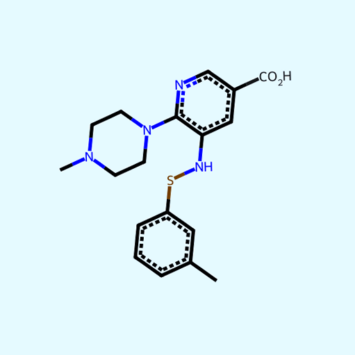 Cc1cccc(SNc2cc(C(=O)O)cnc2N2CCN(C)CC2)c1